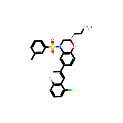 C/C(=C\c1c(F)cccc1Cl)c1ccc2c(c1)N(S(=O)(=O)c1cccc(C)c1)C[C@H](CCC(=O)O)O2